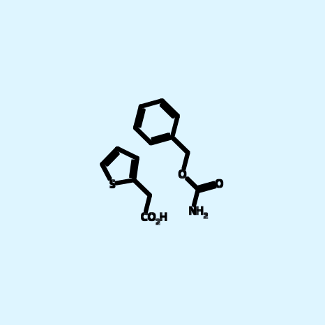 NC(=O)OCc1ccccc1.O=C(O)Cc1cccs1